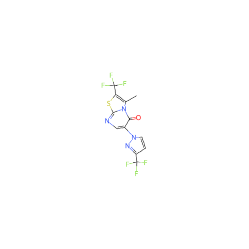 Cc1c(C(F)(F)F)sc2ncc(-n3ccc(C(F)(F)F)n3)c(=O)n12